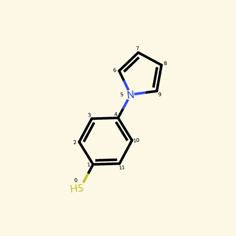 Sc1ccc(-n2cccc2)cc1